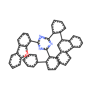 c1ccc(-c2ccccc2-c2nc(-c3ccccc3-c3cc4ccccc4c4ccccc34)nc(-c3cccc4c3oc3ccccc34)n2)cc1